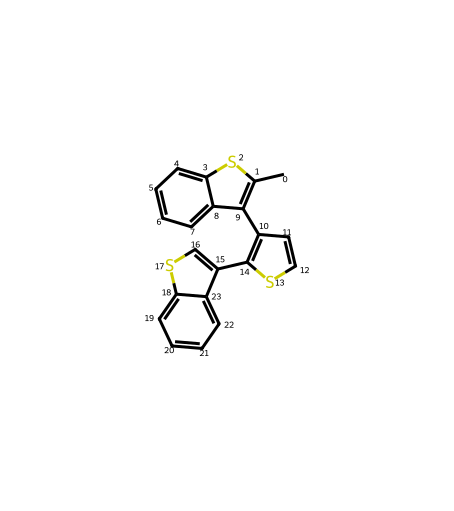 Cc1sc2ccccc2c1-c1ccsc1-c1csc2ccccc12